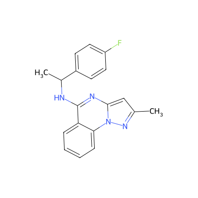 Cc1cc2nc(NC(C)c3ccc(F)cc3)c3ccccc3n2n1